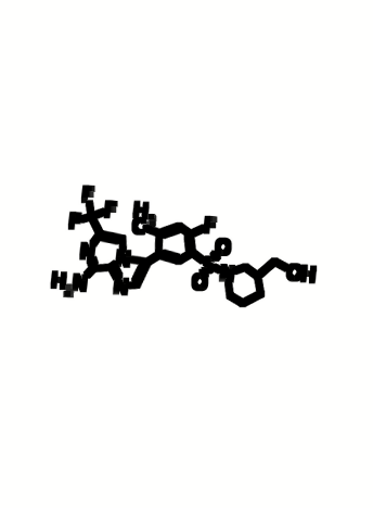 Cc1cc(F)c(S(=O)(=O)N2CCCC(CO)C2)cc1-c1cnc2c(N)nc(C(F)(F)F)cn12